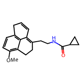 COc1ccc2c3c1CCC(CCNC(=O)C1CC1)=C3C=CC2